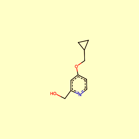 OCc1cc(OCC2CC2)ccn1